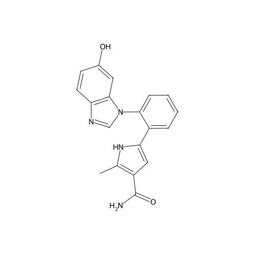 Cc1[nH]c(-c2ccccc2-n2cnc3ccc(O)cc32)cc1C(N)=O